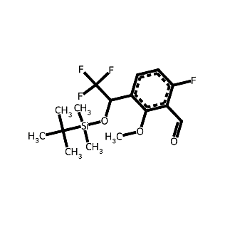 COc1c(C(O[Si](C)(C)C(C)(C)C)C(F)(F)F)ccc(F)c1C=O